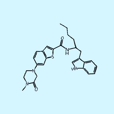 CCCCC(Cc1c[nH]c2ccccc12)NC(=O)c1cc2ccc(N3CCN(C)C(=O)C3)cc2s1